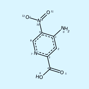 Nc1cc(C(=O)O)ncc1[N+](=O)[O-]